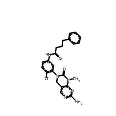 CN1C(=O)N(c2cc(NC(=O)CCCc3ccccc3)ccc2Cl)Cc2cnc(N)nc21